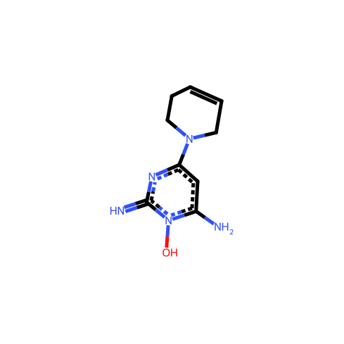 N=c1nc(N2CC=CCC2)cc(N)n1O